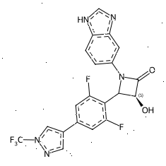 O=C1[C@@H](O)C(c2c(F)cc(-c3cnn(C(F)(F)F)c3)cc2F)N1c1ccc2[nH]cnc2c1